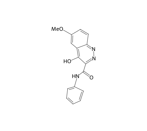 COc1ccc2nnc(C(=O)Nc3ccccc3)c(O)c2c1